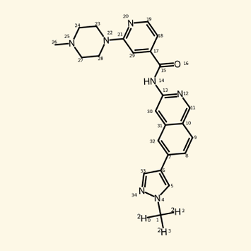 [2H]C([2H])([2H])n1cc(-c2ccc3cnc(NC(=O)c4ccnc(N5CCN(C)CC5)c4)cc3c2)cn1